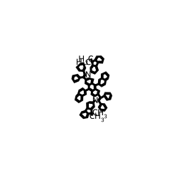 CC1(C)c2ccccc2-c2ccc(-n3c(-c4ccccc4)c(-c4ccccc4)c4cc5c(-c6ccc7ccccc7c6)c6cc7c(cc6c(-c6ccc8ccccc8c6)c5cc43)c(-c3ccccc3)c(-c3ccccc3)n7-c3ccc4c(c3)C(C)(C)c3ccccc3-4)cc21